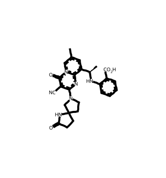 Cc1cc([C@@H](C)Nc2ccccc2C(=O)O)c2nc(N3CCC4(CCC(=O)N4)C3)c(C#N)c(=O)n2c1